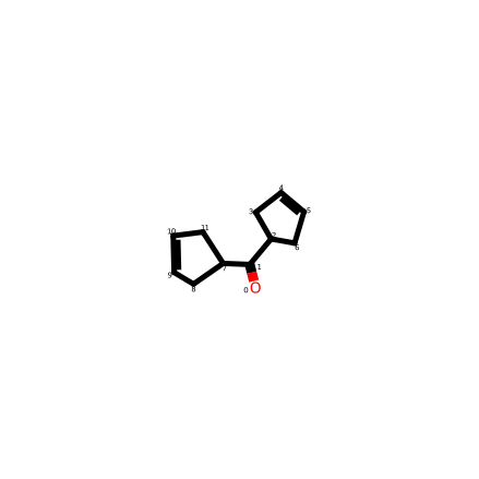 O=C(C1CC=CC1)C1CC=CC1